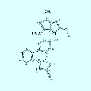 CCOc1nc2c(C)sc(C(=O)O)c2n1Cc1ccc(-c2ccccc2-c2noc(=O)[nH]2)cc1